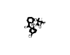 CC(O)(C(=O)Nc1ccc(Cl)cc1C(=O)c1ccccc1)C(F)(F)F